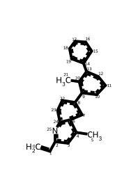 C=Cc1cc(C)c2cc(-c3cccc(-c4ccccc4)c3C)ccc2n1